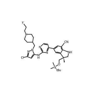 CC(C)(C)[Si](C)(C)OC[C@@]1(C)CNc2c(C#N)cc(-c3ccnc(Nc4cc(Cl)nn4CC4CCN(CCF)CC4)n3)cc21